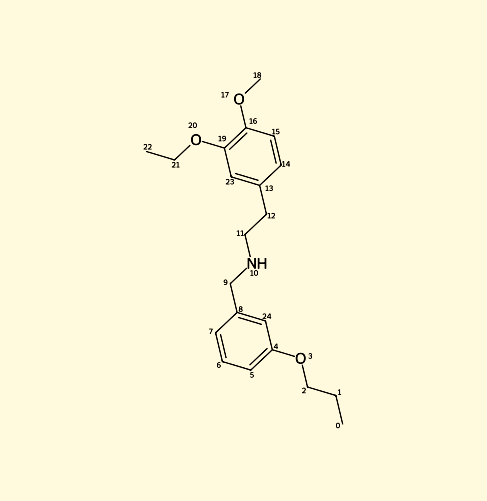 CCCOc1cccc(CNCCc2ccc(OC)c(OCC)c2)c1